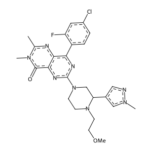 COCCN1CCN(c2nc(-c3ccc(Cl)cc3F)c3nc(C)n(C)c(=O)c3n2)CC1c1cnn(C)c1